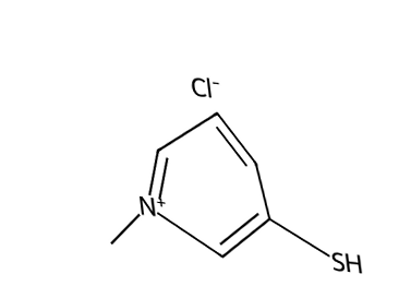 C[n+]1cccc(S)c1.[Cl-]